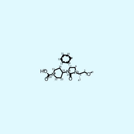 COC[C@H](C)N1C[C@@H](c2ccccc2)N(C2CCN(C(=O)O)CC2)C1=O